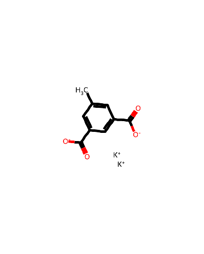 Cc1cc(C(=O)[O-])cc(C(=O)[O-])c1.[K+].[K+]